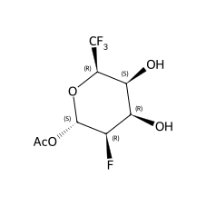 CC(=O)O[C@@H]1O[C@@H](C(F)(F)F)[C@@H](O)[C@@H](O)[C@H]1F